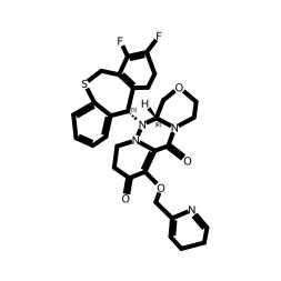 O=C1CCN2C(=C1OCC1=CCCC=N1)C(=O)N1CCOC[C@H]1N2[C@H]1C2=C(CSc3ccccc31)C(F)=C(F)CC2